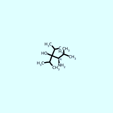 CC(C)[C@@H](N)C(O)(C(C)C)C(C)C